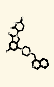 O=C1CCC(N2Cc3c(cc(F)cc3N3CCN(Cc4cncc5ccccc45)CC3)C2=O)C(=O)N1